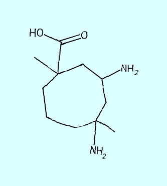 CC1(N)CCCC(C)(C(=O)O)CC(N)C1